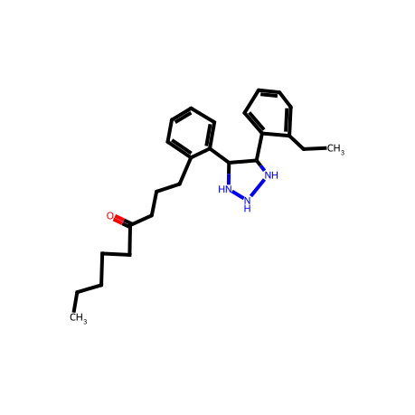 CCCCCC(=O)CCCc1ccccc1C1NNNC1c1ccccc1CC